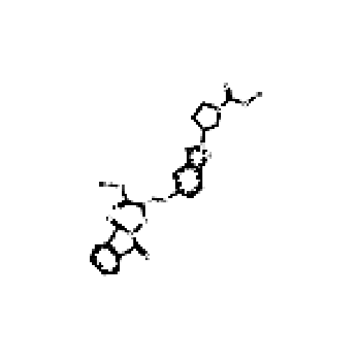 CC(C)(C)OC(=O)[C@H](COc1ccc2nn(C3CCN(C(=O)OC(C)(C)C)C3)cc2c1)ON1C(=O)c2ccccc2C1=O